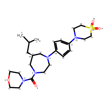 CC(C)C[C@@H]1CN(C(=O)N2CCOCC2)CCN(c2ccc(N3CCS(=O)(=O)CC3)cc2)C1